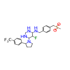 CS(=O)(=O)Cc1ccc(CNC2NCNC(N3CCCC3c3ccc(C(F)(F)F)cc3)C2F)cc1